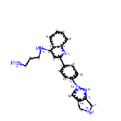 NCCCNc1cc(-c2ccc(-n3cc4c(n3)CNC4)cc2)nc2ccccc12